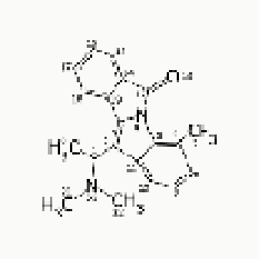 CC(c1c2n(c3c(C(F)(F)F)cccc13)C(=O)c1ccccc1-2)N(C)C